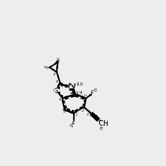 C#Cc1c(F)cc2sc(C3CC3)nc2c1F